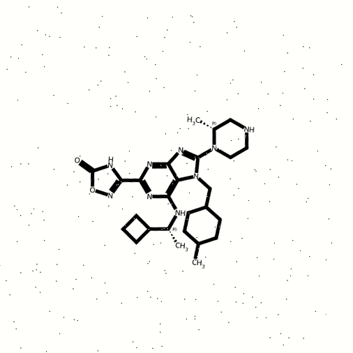 CC1CCC(Cn2c(N3CCNC[C@H]3C)nc3nc(-c4noc(=O)[nH]4)nc(N[C@H](C)C4CCC4)c32)CC1